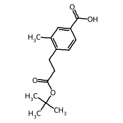 Cc1cc(C(=O)O)ccc1CCC(=O)OC(C)(C)C